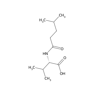 CC(C)CCC(=O)N[C@H](C(=O)O)C(C)C